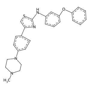 CN1CCN(c2ccc(-c3csc(Nc4cccc(Oc5ccccc5)c4)n3)cc2)CC1